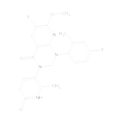 COc1nc2c(cc1F)C(=O)N(c1ccc(=O)[nH]c1C)CN2c1ccc(F)cc1C